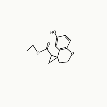 CCOC(=O)C1CC12CCOc1ccc(O)cc12